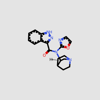 O=C(c1n[nH]c2ccccc12)N(c1ncco1)[C@H]1CN2CCC1CC2